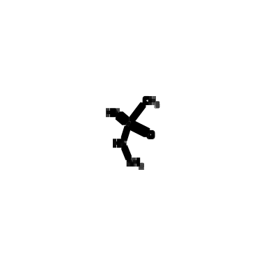 CS(=N)(=O)NN